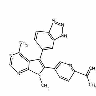 C=C(C)c1ccc(-c2c(-c3ccc4nn[nH]c4c3)c3c(N)ncnc3n2C)cn1